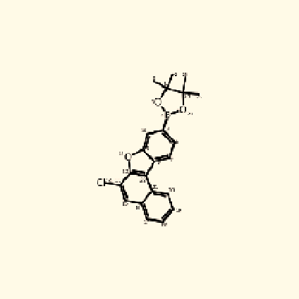 CC1(C)OB(c2ccc3c(c2)oc2c(Cl)cc4ccccc4c23)OC1(C)C